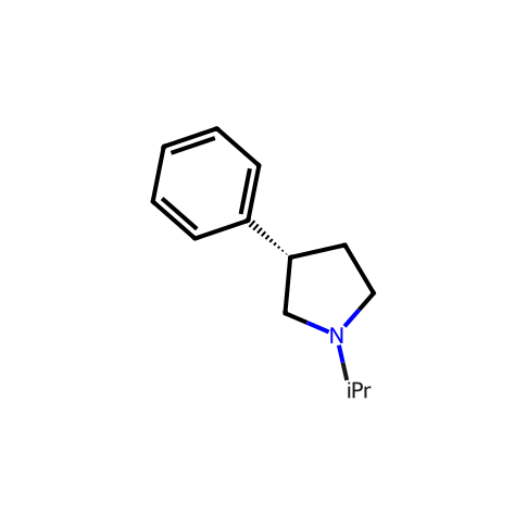 CC(C)N1CC[C@@H](c2ccccc2)C1